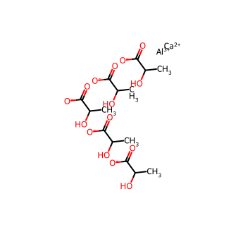 CC(O)C(=O)[O-].CC(O)C(=O)[O-].CC(O)C(=O)[O-].CC(O)C(=O)[O-].CC(O)C(=O)[O-].[Al+3].[Ca+2]